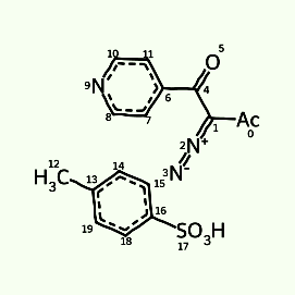 CC(=O)C(=[N+]=[N-])C(=O)c1ccncc1.Cc1ccc(S(=O)(=O)O)cc1